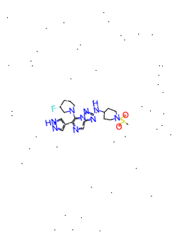 CS(=O)(=O)N1CCC(Nc2nc3cnc(-c4cn[nH]c4)c(N4CCC[C@@H](F)C4)n3n2)CC1